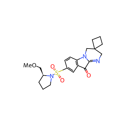 COC[C@@H]1CCCN1S(=O)(=O)c1ccc2c(c1)C(=O)C1=NCC3(CCC3)CN12